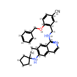 CC(=O)C1(Nc2cc3ccnc(NCc4cc(C#N)ccc4OCc4ccccc4)c3cc2C)CCCC1